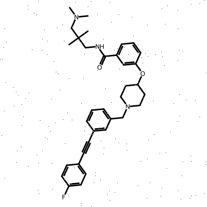 CN(C)CC(C)(C)CNC(=O)c1cccc(OC2CCN(Cc3cccc(C#Cc4ccc(F)cc4)c3)CC2)c1